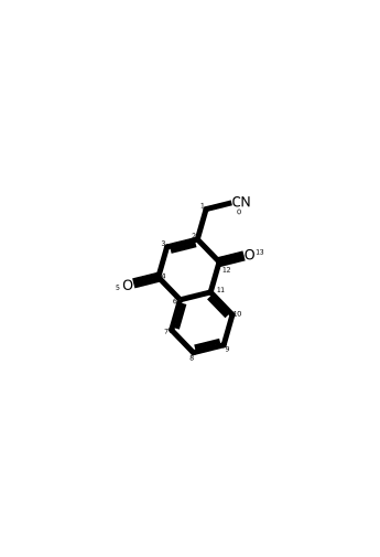 N#CCC1=CC(=O)c2ccccc2C1=O